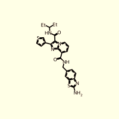 CCC(CC)NC(=O)c1c(-c2ccsc2)nc2c(C(=O)NCc3ccc4nc(N)sc4c3)cccn12